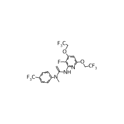 C=C(Nc1nc(OCC(F)(F)F)cc(OCC(F)(F)F)c1F)N(C)c1ccc(C(F)(F)F)cc1